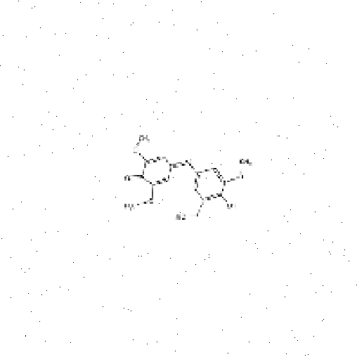 COC1=CC(=Cc2cc(CO)c(O)c(OC)c2)C=C(OC)C1=O